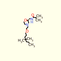 CCCC(C)(C)CCCOCCN1CCO[C@@H](CNC(=O)C(C)C)C1